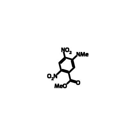 CNc1cc(C(=O)OC)c([N+](=O)[O-])cc1[N+](=O)[O-]